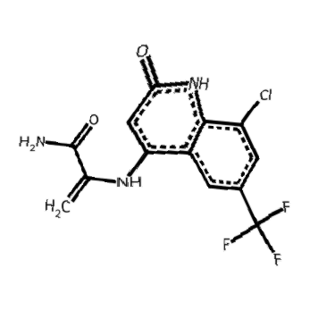 C=C(Nc1cc(=O)[nH]c2c(Cl)cc(C(F)(F)F)cc12)C(N)=O